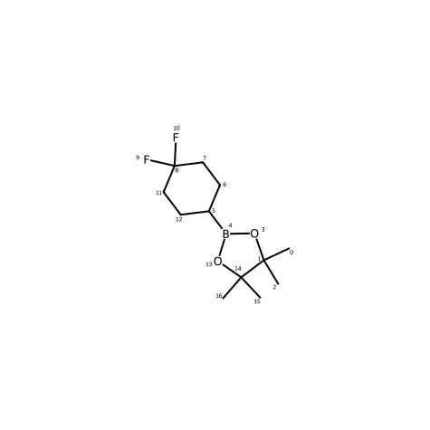 CC1(C)OB(C2CCC(F)(F)CC2)OC1(C)C